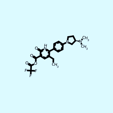 CCc1cc(C(=O)OC(=O)C(F)(F)F)c(=O)[nH]c1-c1ccc(N2CC[C@@H](N(C)C)C2)cc1